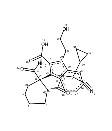 N#CC(NC(=O)[C@@H]1CCCC[C@@]1(C(N)=O)c1c(C(=O)O)n(CCO)c2ccccc12)C1CC1